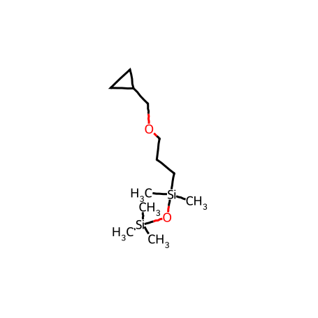 C[Si](C)(C)O[Si](C)(C)CCCOCC1CC1